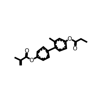 C=C(C)C(=O)Oc1ccc(-c2ccc(OC(=O)CC)cc2C)cc1